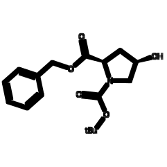 CC(C)(C)OC(=O)N1C[C@H](O)C[C@@H]1C(=O)OCc1ccccc1